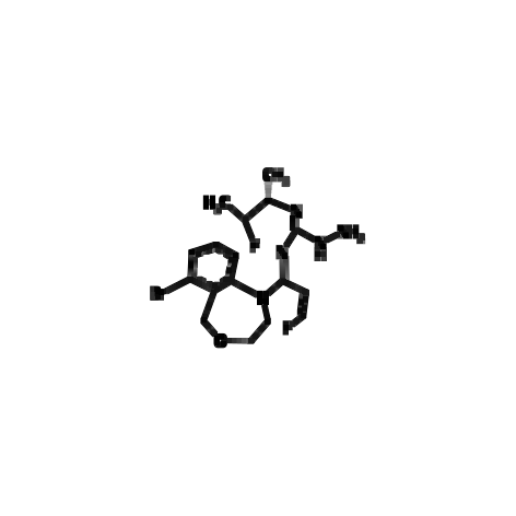 CC(F)[C@H](C)\N=C(/N=C(\C=C/F)N1CCOCc2c(Br)cccc21)NN